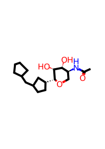 CC(=O)N[C@H]1CO[C@H](C2CCC(CC3CCCC3)C2)[C@H](O)[C@@H]1O